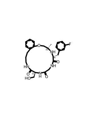 C[C@H]1COc2ccccc2CCCNC(=O)[C@H](CO)NC(=O)CNC(=O)[C@@H](Cc2cccc(F)c2)N1